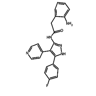 Nc1ccccc1CC(=O)Nc1n[nH]c(-c2ccc(F)cc2)c1-c1ccncc1